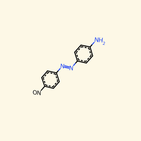 Nc1ccc(/N=N/c2ccc(N=O)cc2)cc1